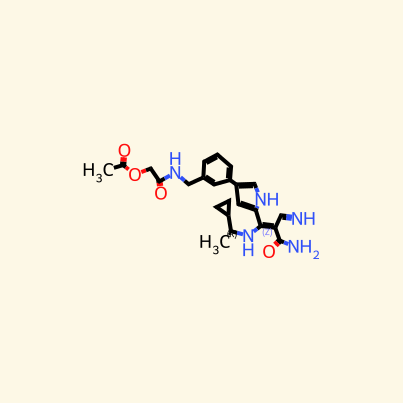 CC(=O)OCC(=O)NCc1cccc(-c2c[nH]c(/C(N[C@H](C)C3CC3)=C(\C=N)C(N)=O)c2)c1